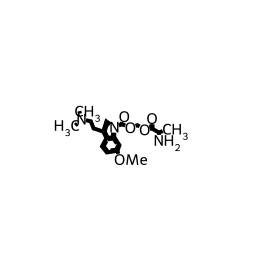 COc1ccc2c(CCN(C)C)cn(C(=O)OCOC(=O)C(C)N)c2c1